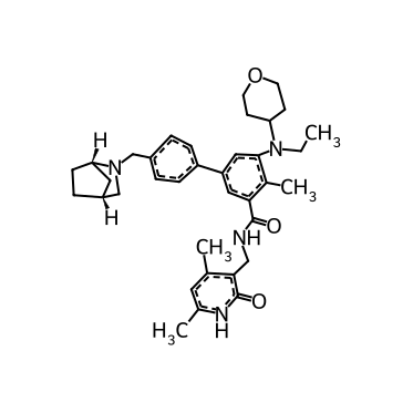 CCN(c1cc(-c2ccc(CN3C[C@@H]4CC[C@H]3C4)cc2)cc(C(=O)NCc2c(C)cc(C)[nH]c2=O)c1C)C1CCOCC1